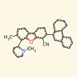 Cc1ccc2c(oc3c(C#N)c(-c4cc5ccccc5c5ccccc45)ccc32)c1-c1cccc[n+]1C